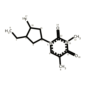 CCC1CC(n2cc(C)c(=O)n(C)c2=O)CC1[18F]